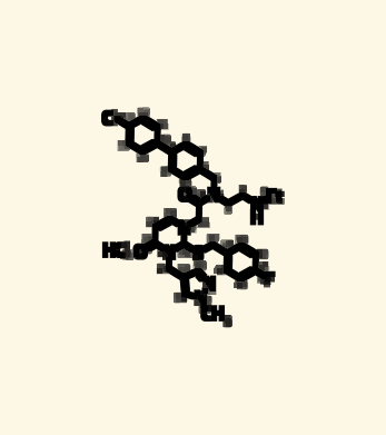 CCNCCN(Cc1ccc(-c2ccc(Cl)cc2)cc1)C(=O)CN1C=CC(=O)N(Cc2cnn(C)c2)C1SCc1ccc(F)cc1.Cl